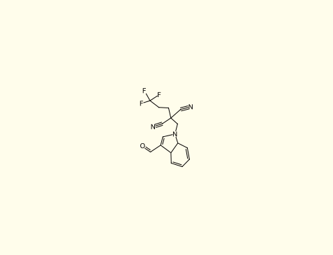 N#CC(C#N)(CCC(F)(F)F)CN1C=C(C=O)C2C=CC=CC21